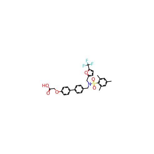 Cc1cc(C)c(S(=O)(=O)N(Cc2ccc(-c3ccc(OCC(=O)O)cc3)cc2)Cc2ccc(C(F)(F)F)o2)c(C)c1